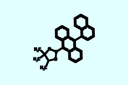 CC1OB(c2c3ccccc3c(-c3cccc4ccccc34)c3ccccc23)OC1(C)C